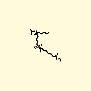 CCCCCC(C)(CCCCS(=O)(=O)NCCCCCCC(=O)OCC)OC(C)=O